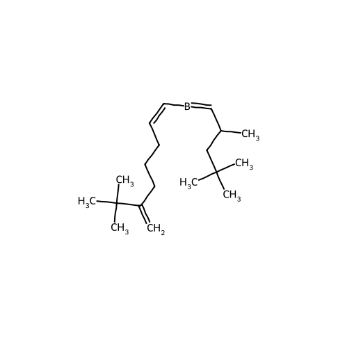 C=C(CCC/C=C\B=C/C(C)CC(C)(C)C)C(C)(C)C